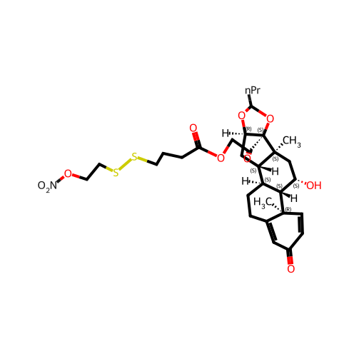 CCCC1O[C@@H]2C[C@H]3[C@@H]4CCC5=CC(=O)C=C[C@]5(C)[C@H]4[C@@H](O)C[C@]3(C)[C@]2(C(=O)COC(=O)CCCSSCCO[N+](=O)[O-])O1